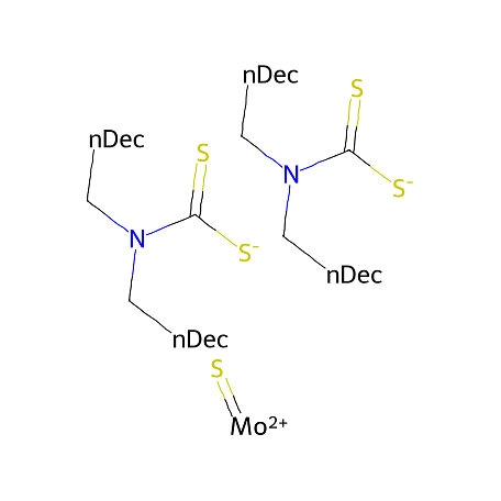 CCCCCCCCCCCN(CCCCCCCCCCC)C(=S)[S-].CCCCCCCCCCCN(CCCCCCCCCCC)C(=S)[S-].[S]=[Mo+2]